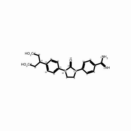 N=C(N)c1ccc(N2CCN(c3ccc(C(CC(=O)O)CC(=O)O)cc3)C2=O)cc1